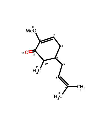 COC1=CCC(CC=C(C)C)C(C)C1=O